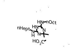 CC(=O)O.CCCCCCCCNC1=NC(C)(C)N=C(NCCCCCCC)N1